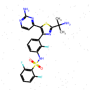 CC(C)(N)c1nc(-c2cccc(NS(=O)(=O)c3c(F)cccc3F)c2F)c(-c2ccnc(N)n2)s1